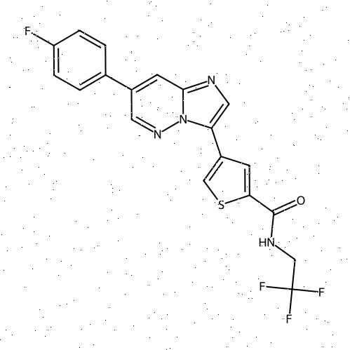 O=C(NCC(F)(F)F)c1cc(-c2cnc3cc(-c4ccc(F)cc4)cnn23)cs1